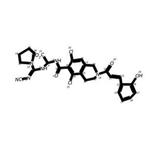 N#C/N=C(/NC(NC(=O)c1c(Cl)cc2c(c1Cl)CCN(C(=O)/C=C/c1ccccc1O)C2)C(=O)O)N1CCCC1